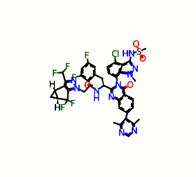 Cc1ncnc(C)c1-c1ccc2c(=O)n(-c3ccc(Cl)c4c(NS(C)(=O)=O)nn(C)c34)c([C@H](Cc3cc(F)cc(F)c3)NC(=O)Cn3nc(C(F)F)c4c3C(F)(F)[C@@H]3C[C@H]43)nc2c1